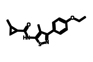 CCOc1ccc(-c2nsc(NC(=O)C3CC3C)c2C)cc1